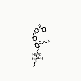 CCCCNC(=N)NC(=O)CCc1ccc(-c2ccc(CN3CCN(C(=O)c4ccccc4)CC3)cc2)c(OCCCOC)c1